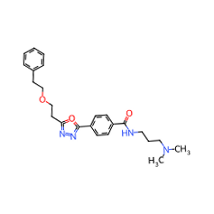 CN(C)CCCNC(=O)c1ccc(-c2nnc(CCOCCc3ccccc3)o2)cc1